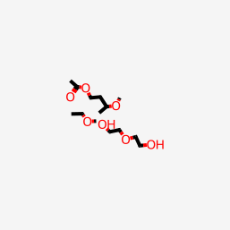 CCOC.COC(C)CCOC(C)=O.OCCOCCO